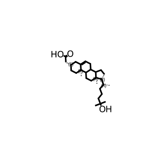 C[C@H](CCCC(C)(C)O)[C@H]1CCC2C3CC=C4C[C@@H](CC(=O)O)CC[C@]4(C)C3CC[C@@]21C